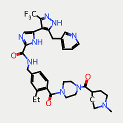 CCc1cc(CNC(=O)c2ncc(-c3c(C(F)(F)F)n[nH]c3Cc3cccnc3)[nH]2)ccc1C(=O)N1CCN(C(=O)C2CCN(C)CC2)CC1